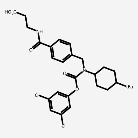 CC(C)(C)C1CCC(N(Cc2ccc(C(=O)NCCC(=O)O)cc2)C(=O)Oc2cc(Cl)cc(Cl)c2)CC1